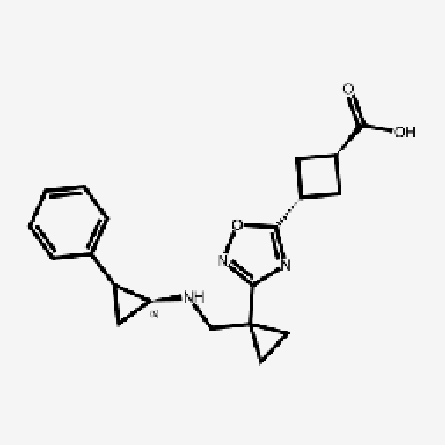 O=C(O)[C@H]1C[C@H](c2nc(C3(CN[C@H]4CC4c4ccccc4)CC3)no2)C1